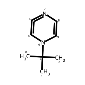 CC(C)(C)N1C=C=NC=C1